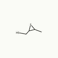 CC1SC1CS